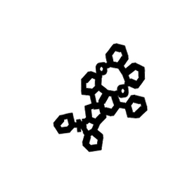 c1ccc(-c2cccc3c2Oc2ccccc2-c2ccccc2Oc2cccc(-c4ccc5c6ccccc6n(-c6ccccc6)c5c4)c2-3)cc1